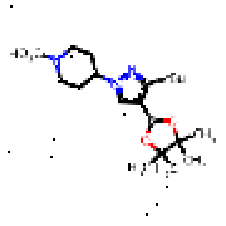 CC(C)(C)c1nn(C2CCN(C(=O)O)CC2)cc1B1OC(C)(C)C(C)(C)O1